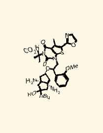 CCCCC1(O)C[C@]2(N)C[C@H](OC(Cn3c(=O)n(C(C)(C)C(=O)O)c(=O)c4c(C)c(-c5ncco5)sc43)c3ccccc3OC)C[C@]2(N)C1